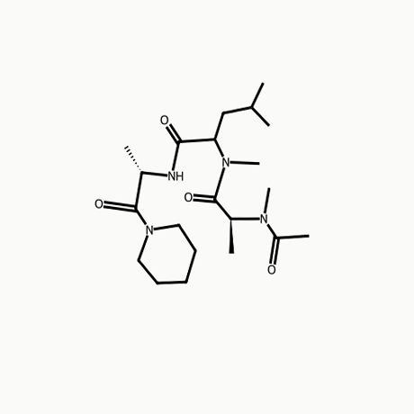 CC(=O)N(C)[C@@H](C)C(=O)N(C)C(CC(C)C)C(=O)N[C@@H](C)C(=O)N1CCCCC1